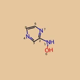 ONc1cn[c]cn1